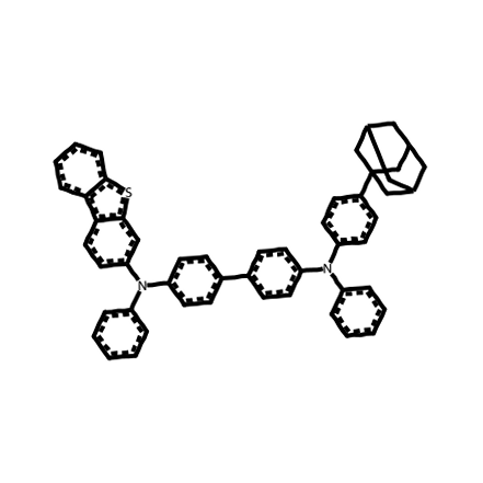 c1ccc(N(c2ccc(-c3ccc(N(c4ccccc4)c4ccc5c(c4)sc4ccccc45)cc3)cc2)c2ccc(C34CC5CC(CC(C5)C3)C4)cc2)cc1